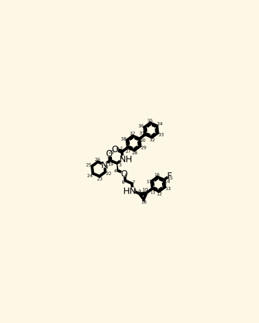 O=C(N[C@@H](COCCNC1=C(c2ccc(F)cc2)C1)C(=O)N1CCCCC1)c1ccc(-c2ccccc2)cc1